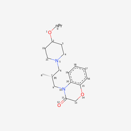 CCCOC1CCN(C[C@@H](C)CN2C(=O)COc3ccccc32)CC1